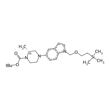 C[C@@H]1CN(c2ccc3c(ccn3COCC[Si](C)(C)C)c2)CCN1C(=O)OC(C)(C)C